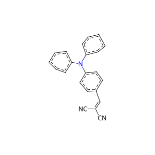 N#CC(C#N)=Cc1ccc(N(c2ccccc2)c2ccccc2)cc1